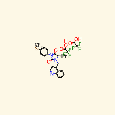 CC(C)[C@@H]1C(=O)N(c2ccc(SC(F)(F)F)cc2)C(=O)N1Cc1ccnc2ccccc12.O=C(O)C(F)(F)F.O=C(O)C(F)(F)F